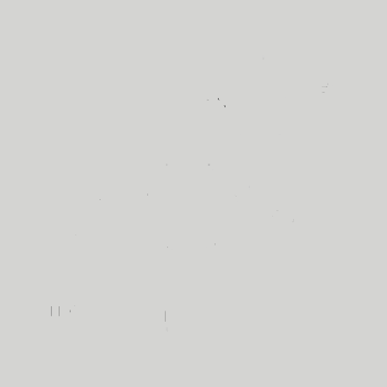 CC1CC=c2cc(-c3ncc(Br)s3)c(=O)oc2=C1Cl